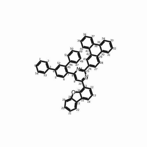 c1ccc(-c2ccc(-c3cc(-c4cccc5c4oc4ccccc45)nc(-c4ccc5c6ccccc6c6ccccc6c5c4)n3)c(-c3ccccc3)c2)cc1